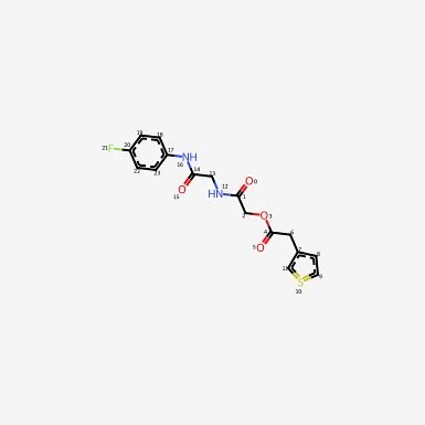 O=C(COC(=O)Cc1ccsc1)NCC(=O)Nc1ccc(F)cc1